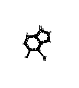 Cc1cnc2[nH]ncc2c1Br